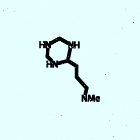 CNCCCC1NCNCN1